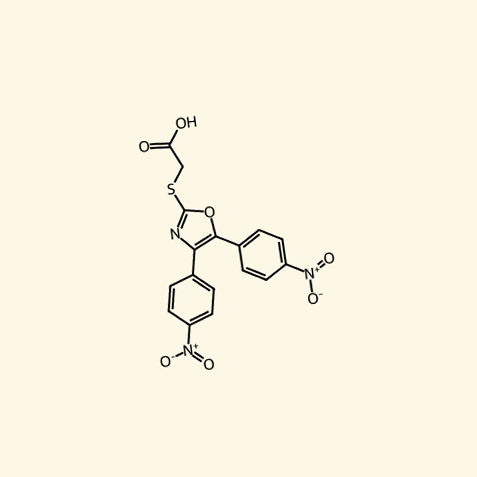 O=C(O)CSc1nc(-c2ccc([N+](=O)[O-])cc2)c(-c2ccc([N+](=O)[O-])cc2)o1